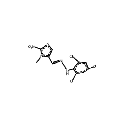 Cn1c(C=NNc2c(Cl)cc(Cl)cc2Cl)cnc1[N+](=O)[O-]